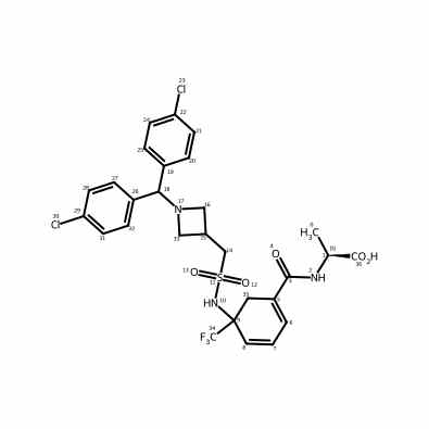 C[C@H](NC(=O)C1=CC=CC(NS(=O)(=O)CC2CN(C(c3ccc(Cl)cc3)c3ccc(Cl)cc3)C2)(C(F)(F)F)C1)C(=O)O